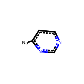 [Na][c]1ccncn1